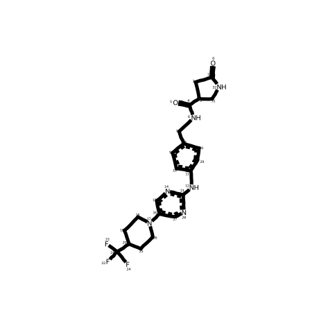 O=C1CC(C(=O)NCc2ccc(Nc3ncc(N4CCC(C(F)(F)F)CC4)cn3)cc2)CN1